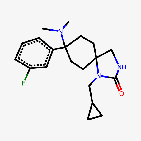 CN(C)C1(c2cccc(F)c2)CCC2(CC1)CNC(=O)N2CC1CC1